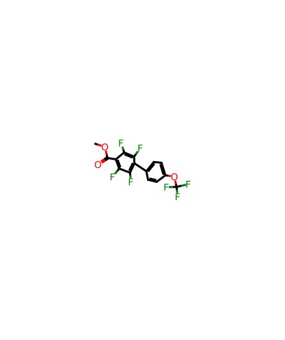 COC(=O)c1c(F)c(F)c(-c2ccc(OC(F)(F)F)cc2)c(F)c1F